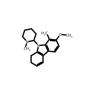 COc1ccc2c3c(n(C4CCCCN4C)c2c1C)CCC=C3